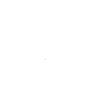 Cc1cccnc1NBr